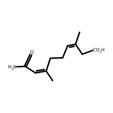 CC(=CCC/C(C)=C\C(N)=O)CC(=O)O